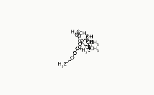 C=C(C)C(=O)OCCCc1cc(-c2ccc(-c3ccc(C4CCC(CCCCC)CC4)cc3)cc2F)cc(CCCOC(=O)C(C)C)c1OCCC(CO)(CO)CCCC